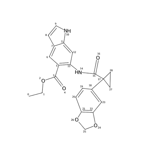 CCOC(=O)c1cc2cc[nH]c2cc1NC(=O)C1(c2ccc3c(c2)OCO3)CC1